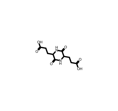 O=C(O)CCC1NC(=O)C(CCC(=O)O)NC1=O